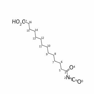 O=C=NC(=O)CCCCCCCCCCCCC(=O)O